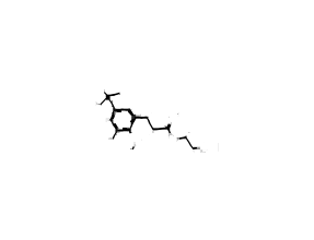 COc1c(C)cc(C(C)(C)C)cc1CCC(=O)OCCO